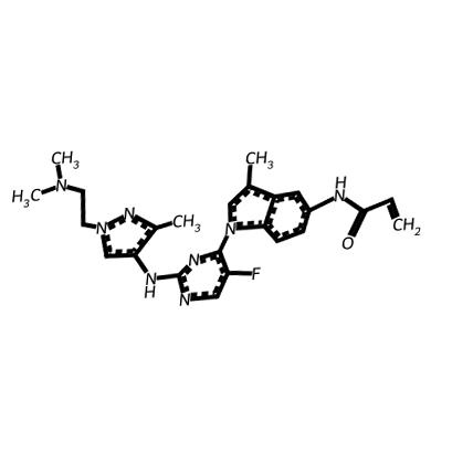 C=CC(=O)Nc1ccc2c(c1)c(C)cn2-c1nc(Nc2cn(CCN(C)C)nc2C)ncc1F